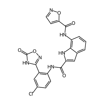 O=C(Nc1ccc(Cl)cc1-c1noc(=O)[nH]1)c1cc2cccc(NC(=O)c3ccno3)c2[nH]1